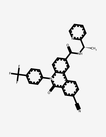 C[C@H](NC(=O)c1ccc2c(c1)c1ccc(C#N)cc1c(=O)n2-c1ccc(C(F)(F)F)cc1)c1ccccn1